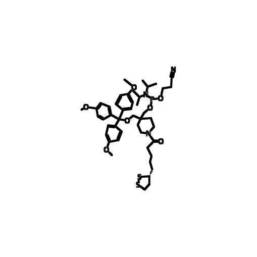 COc1ccc(C(OCC2(COP(OCCC#N)N(C(C)C)C(C)C)CCN(C(=O)CCCC[C@@H]3CCSS3)CC2)(c2ccc(OC)cc2)c2ccc(OC)cc2)cc1